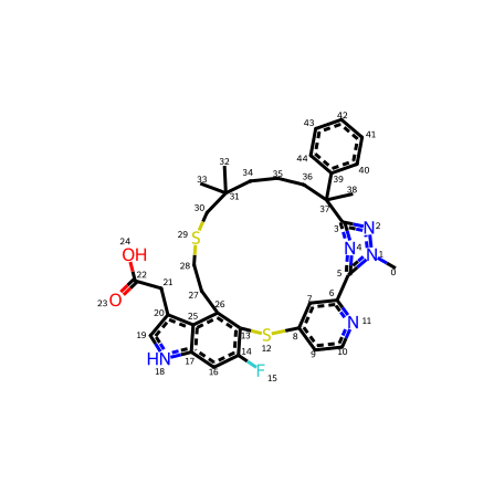 Cn1nc2nc1-c1cc(ccn1)Sc1c(F)cc3[nH]cc(CC(=O)O)c3c1CCSCC(C)(C)CCCC2(C)c1ccccc1